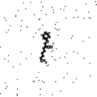 CCCCCCC(O)COc1ncncn1